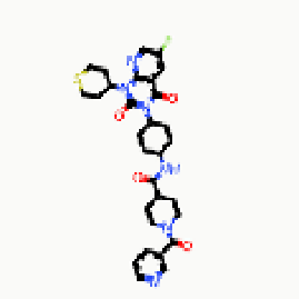 O=C(NC1CCC(n2c(=O)c3cc(F)cnc3n(C3CCSCC3)c2=O)CC1)C1CCN(C(=O)c2cccnc2)CC1